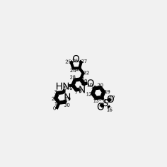 Cc1ccc(Nc2cnc(Oc3ccc(S(C)(=O)=O)cc3)c(CC3CCOC3)c2)nc1